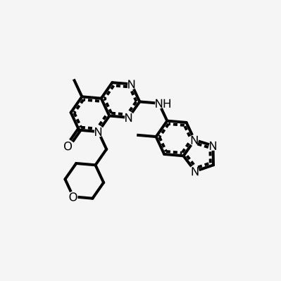 Cc1cc2ncnn2cc1Nc1ncc2c(C)cc(=O)n(CC3CCOCC3)c2n1